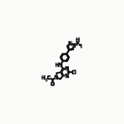 CC(=O)N1Cc2nc(Cl)nc(Nc3ccc(-c4cnn(PI)c4)cc3)c2C1